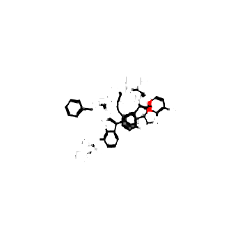 CC(C)[C@@H]1NC(=O)[C@@H](NC(=O)OCc2ccccc2)Cc2ccc3c(c2)[C@@]2(c4cccc(Br)c4NC2O3)c2oc1nc2-c1ncc(-c2c[nH]c3c(OS(=O)(=O)C(F)(F)F)cccc23)o1